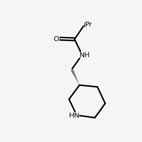 CC(C)C(=O)NC[C@@H]1CCCNC1